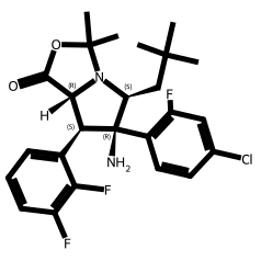 CC(C)(C)C[C@@H]1N2[C@@H](C(=O)OC2(C)C)[C@H](c2cccc(F)c2F)[C@@]1(N)c1ccc(Cl)cc1F